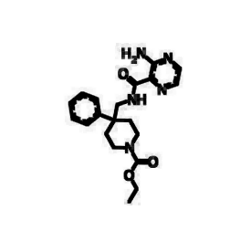 CCOC(=O)N1CCC(CNC(=O)c2nccnc2N)(c2ccccc2)CC1